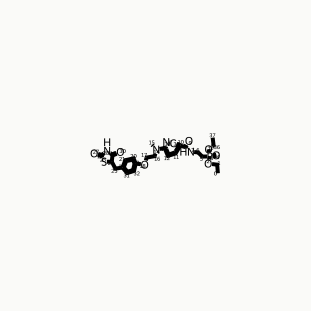 CCOP(=O)(CCNC(=O)c1ccc(N(C)CCOc2ccc(CC3SC(=O)NC3=O)cc2)nc1)OCC